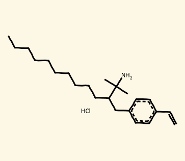 C=Cc1ccc(CC(CCCCCCCCCC)C(C)(C)N)cc1.Cl